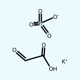 O=CC(=O)O.[K+].[O]=[Mn](=[O])(=[O])[O-]